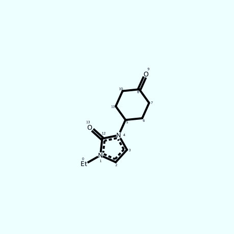 CCn1ccn(C2CCC(=O)CC2)c1=O